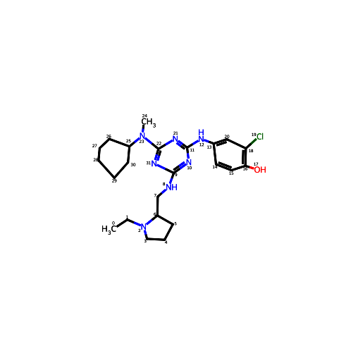 CCN1CCCC1CNc1nc(Nc2ccc(O)c(Cl)c2)nc(N(C)C2CCCCC2)n1